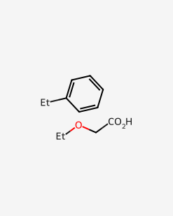 CCOCC(=O)O.CCc1ccccc1